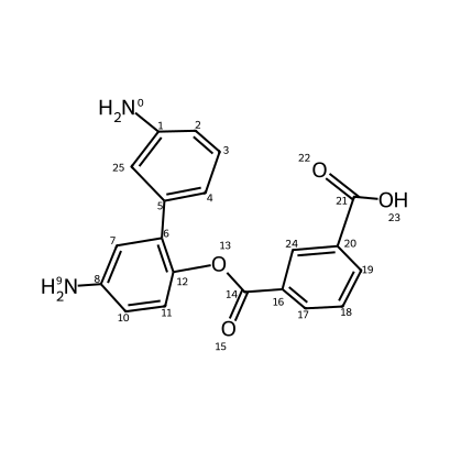 Nc1cccc(-c2cc(N)ccc2OC(=O)c2cccc(C(=O)O)c2)c1